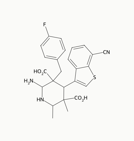 CC1NC(N)C(Cc2ccc(F)cc2)(C(=O)O)C(c2csc3c(C#N)cccc23)C1(C)C(=O)O